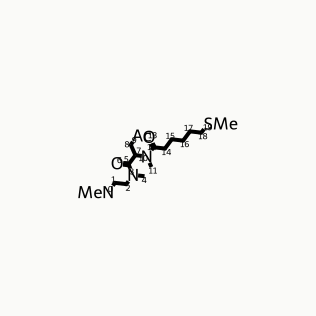 CNCCN(C)C(=O)C(CC(C)=O)N(C)C(=O)CCCCCSC